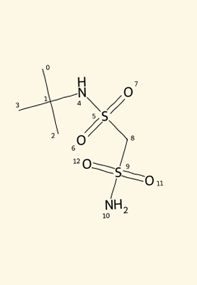 CC(C)(C)NS(=O)(=O)CS(N)(=O)=O